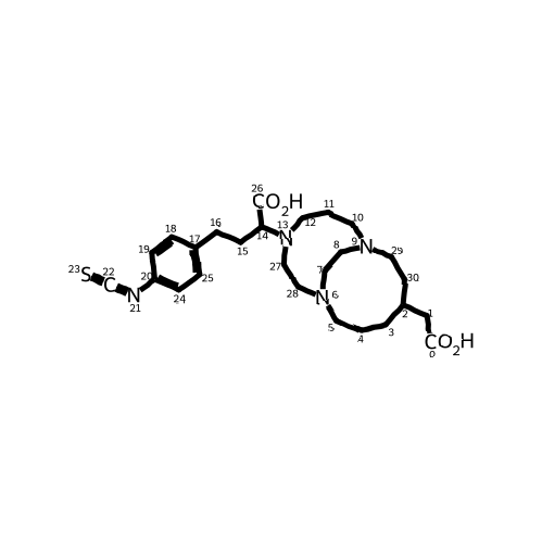 O=C(O)CC1CCCN2CCN(CCCN(C(CCc3ccc(N=C=S)cc3)C(=O)O)CC2)CC1